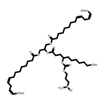 CCCCC/C=C\C/C=C\CCCCCCCC(=O)OCC(COC(=O)CCCCCCC/C=C\C/C=C\CCCCC)OC(=O)CCC(CCCCCCCCCCCCCCCC)OC(=O)OCCCN(C)CC